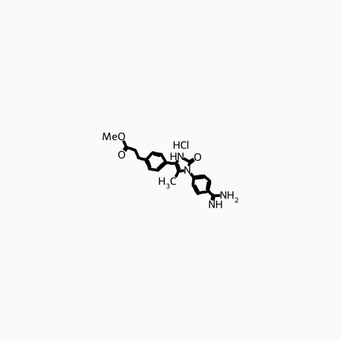 COC(=O)CCc1ccc(-c2[nH]c(=O)n(-c3ccc(C(=N)N)cc3)c2C)cc1.Cl